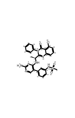 C[C@H](Nc1nc(N)ncc1-c1cccc(NS(C)(=O)=O)c1)c1nc2cccc(Cl)c2c(=O)n1-c1ccccc1